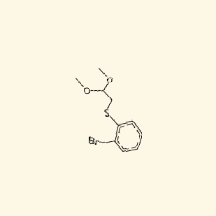 COC(CSc1ccccc1Br)OC